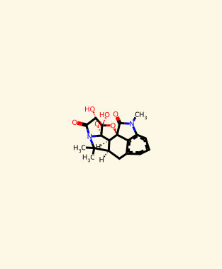 CN1C(=O)[C@]23O[C@]4(O)[C@@H](O)C(=O)N5C(C)(C)[C@H](Cc6cccc1c62)[C@H]3[C@@]54O